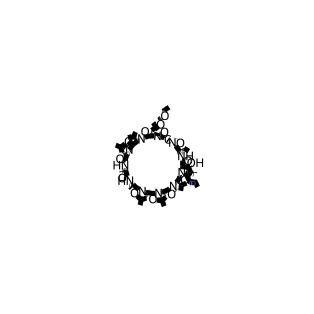 C/C=C/C[C@@H](C)[C@@H](O)[C@H]1C(=O)N[C@@H](CC)C(=O)N(C)CC(=O)N(C)[C@@H](CC(C)(C)OCOCC)C(=O)N[C@@H](C(C)C)C(=O)N(C)[C@@H](CC(C)C)C(=O)N[C@@H](C)C(=O)N[C@H](C)C(=O)N(C)[C@@H](CC(C)C)C(=O)N(C)[C@@H](CC(C)C)C(=O)N(C)[C@@H](C(C)C)C(=O)N1C